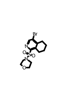 O=S(=O)(c1ncc(Br)c2c1CCCC2)N1CCOCC1